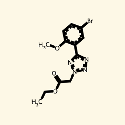 CCOC(=O)Cn1nnc(-c2cc(Br)ccc2OC)n1